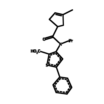 CC1=CCC(C(=O)N(c2cc(-c3ccccc3)sc2C(=O)O)C(C)C)C1